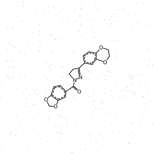 O=C(c1ccc2c(c1)OCO2)N1CCC(c2ccc3c(c2)OCCO3)=N1